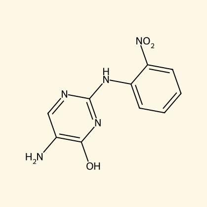 Nc1cnc(Nc2ccccc2[N+](=O)[O-])nc1O